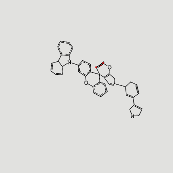 C1=CC2c3ccccc3N(c3ccc4c(c3)Oc3ccccc3C43C4=C(CC(C5C=C(C6=CC=NC6)C=CC5)C=C4)OC4=C3CCC=C4)C2C=C1